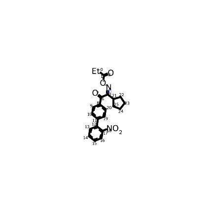 CCC(=O)O/N=C(\C(=O)c1ccc(-c2ccccc2[N+](=O)[O-])cc1)C1CCCC1